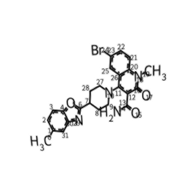 Cc1ccc2oc(C3CCN(c4c(C(N)=O)c(=O)n(C)c5ccc(Br)cc45)CC3)nc2c1